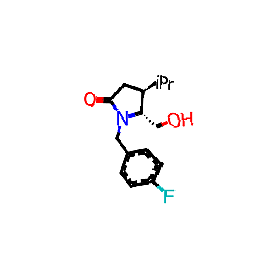 CC(C)[C@@H]1CC(=O)N(Cc2ccc(F)cc2)[C@H]1CO